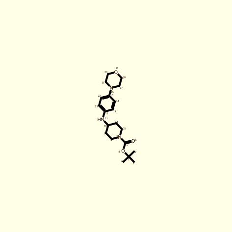 CC(C)(C)OC(=O)N1CCC(Nc2ccc(N3CCOCC3)cc2)CC1